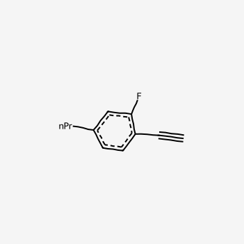 C#Cc1ccc(CCC)cc1F